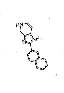 C1=Cc2[nH]c(-c3ccc4ccccc4c3)nc2CN1